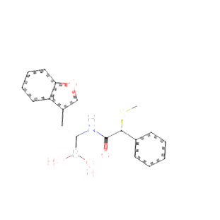 CS[C@H](C(=O)N[C@@H](Cc1coc2ccccc12)B(O)O)c1ccccc1